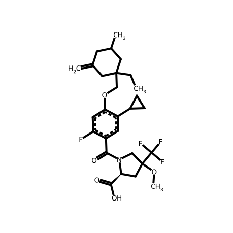 C=C1CC(C)CC(CC)(COc2cc(F)c(C(=O)N3CC(OC)(C(F)(F)F)C[C@H]3C(=O)O)cc2C2CC2)C1